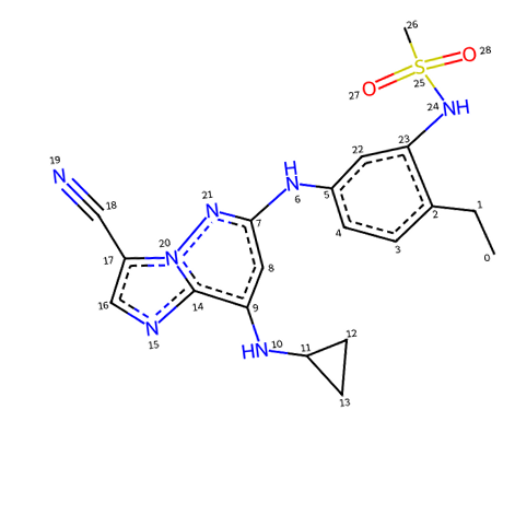 CCc1ccc(Nc2cc(NC3CC3)c3ncc(C#N)n3n2)cc1NS(C)(=O)=O